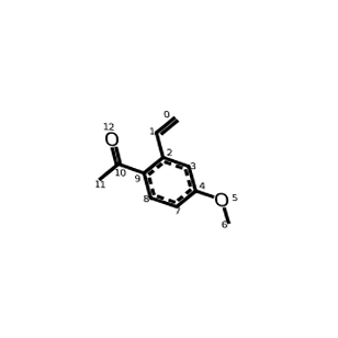 C=Cc1cc(OC)ccc1C(C)=O